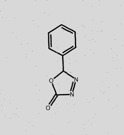 O=C1N=NC(c2ccccc2)O1